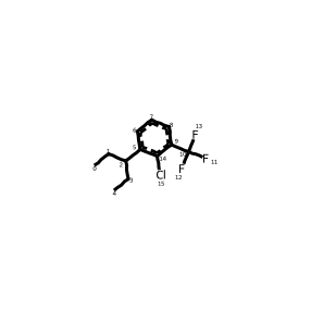 CCC(CC)c1cccc(C(F)(F)F)c1Cl